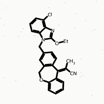 CCOc1nc2c(Cl)cccc2n1Cc1ccc2c(c1)COc1ccccc1/C2=C(/C)C#N